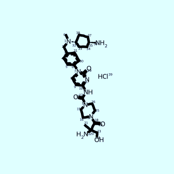 CN(Cc1ccc(-n2ccc(NC(=O)N3CCN(C(=O)C(C)(N)CO)CC3)nc2=O)cc1)[C@H]1CC[C@H](N)CC1.Cl